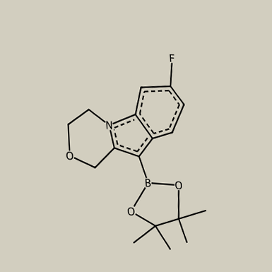 CC1(C)OB(c2c3n(c4cc(F)ccc24)CCOC3)OC1(C)C